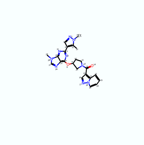 CCn1ncc(-c2nc(OC3CCN(C(=O)c4cnn5ccccc45)C3)c3ncn(C)c3n2)c1C